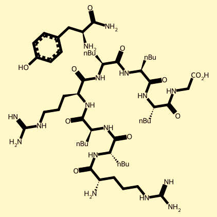 CCCC[C@H](NC(=O)[C@H](CCCC)NC(=O)[C@H](CCCC)NC(=O)[C@H](CCCNC(=N)N)NC(=O)[C@H](CCCC)NC(=O)[C@H](CCCC)NC(=O)[C@@H](N)CCCNC(=N)N)C(=O)NCC(=O)O.NC(=O)[C@@H](N)Cc1ccc(O)cc1